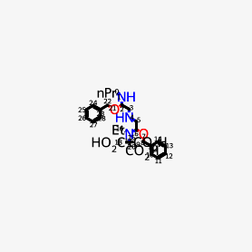 CCCNC(CNCC(OCc1ccccc1)N(CC)C(C(=O)O)(C(=O)O)C(=O)O)OCc1ccccc1